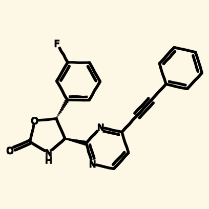 O=C1N[C@H](c2nccc(C#Cc3ccccc3)n2)[C@@H](c2cccc(F)c2)O1